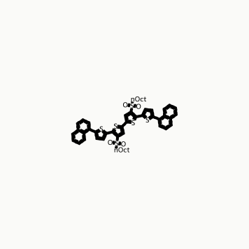 CCCCCCCCS(=O)(=O)c1cc(-c2cc(S(=O)(=O)CCCCCCCC)c(-c3ccc(-c4cccc5ccccc45)s3)s2)sc1-c1ccc(-c2cccc3ccccc23)s1